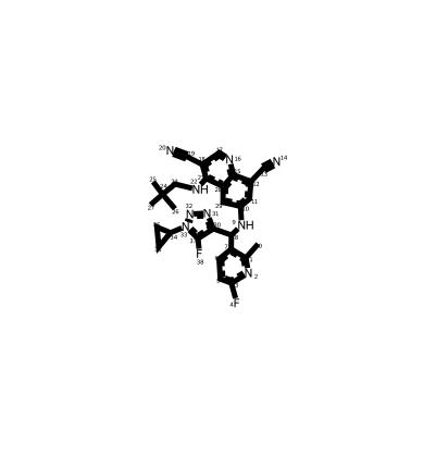 Cc1nc(F)ccc1C(Nc1cc(C#N)c2ncc(C#N)c(NCC(C)(C)C)c2c1)c1nnn(C2CC2)c1F